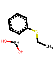 CCSc1ccccc1.OBO